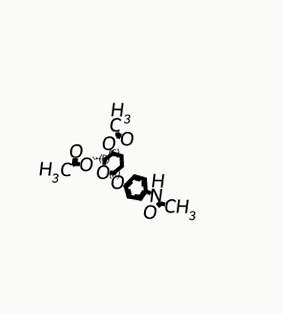 CC(=O)Nc1ccc(O[C@@H]2CC[C@H](OC(C)=O)[C@@H](COC(C)=O)O2)cc1